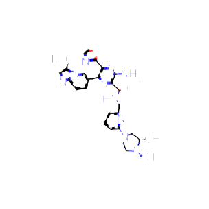 Cc1cnc2ccc(-c3nc(C(=O)NCc4cccc(N5CCN(C)[C@H](C)C5)n4)c(N)nc3-c3ncco3)cn12